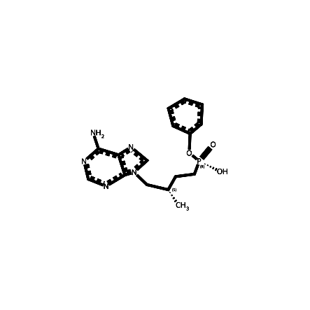 C[C@@H](CC[P@@](=O)(O)Oc1ccccc1)Cn1cnc2c(N)ncnc21